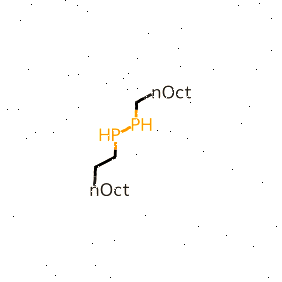 CCCCCCCCCCPPCCCCCCCCC